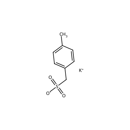 Cc1ccc(CS(=O)(=O)[O-])cc1.[K+]